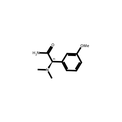 COc1cccc([C@H](C(N)=O)N(C)C)c1